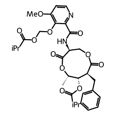 COc1ccnc(C(=O)N[C@H]2COC(=O)[C@@H](Cc3ccccc3)[C@H](OC(=O)C(C)C)[C@H](C)OC2=O)c1OCOC(=O)C(C)C